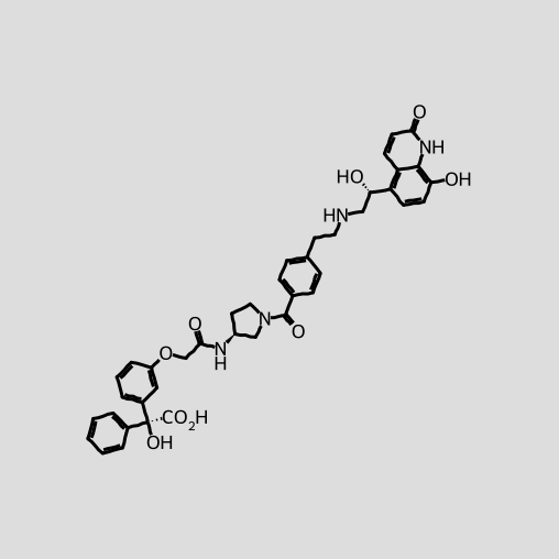 O=C(COc1cccc([C@](O)(C(=O)O)c2ccccc2)c1)N[C@H]1CCN(C(=O)c2ccc(CCNC[C@H](O)c3ccc(O)c4[nH]c(=O)ccc34)cc2)C1